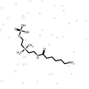 C[N+](C)(CCNC(=O)CCCCCN)CCOP(=O)(O)O